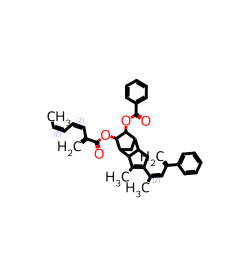 C=C(/C=C\C=C/C)C(=O)OC1C2CC(C3CC(/C(C)=C\C(=C)c4ccccc4)=C(C)C32)C1OC(=O)c1ccccc1